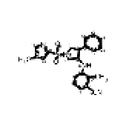 Cc1c(C#N)cccc1NC1CN(S(=O)(=O)c2cn(C)cn2)CC1c1ccccc1